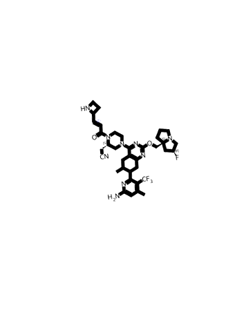 Cc1cc(N)nc(C2Cc3nc(OC[C@@]45CCCN4C[C@H](F)C5)nc(N4CCN(C(=O)/C=C/C5CCN5)[C@@H](CC#N)C4)c3CC2C)c1C(F)(F)F